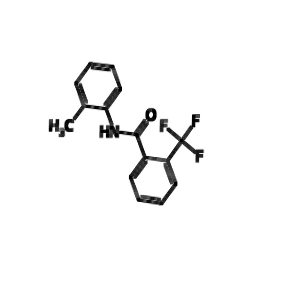 Cc1ccccc1NC(=O)c1ccccc1C(F)(F)F